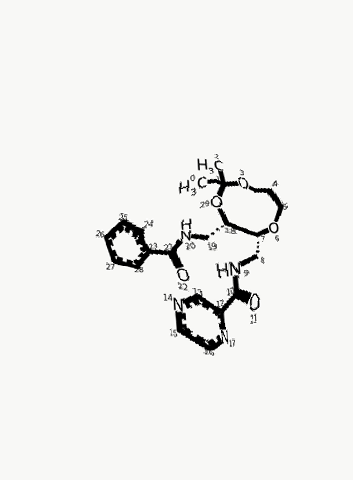 CC1(C)OCCO[C@H](CNC(=O)c2cnccn2)[C@H](CNC(=O)c2ccccc2)O1